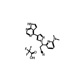 CN(C)c1cccc(C(CC#N)n2cc(-c3ncnc4[nH]ccc34)cn2)n1.O=C(O)C(F)(F)F